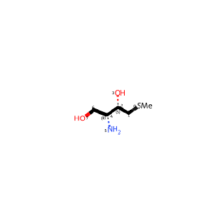 CSC[C@@H](O)[C@H](N)CO